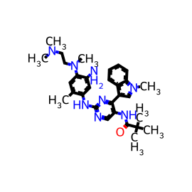 Cc1cc(N(C)CCN(C)C)c(N)cc1Nc1ncc(NC(=O)C(C)(C)C)c(-c2cn(C)c3ccccc23)n1